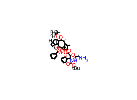 [2H]C([2H])([2H])O[C@H]1C[C@H]2CC[C@@]2(OC(C)=O)[C@H]2[C@H](OC(=O)c3ccccc3)[C@]3(O)C[C@H](OC(=O)[C@H](OC(=O)CN)[C@@H](NC(=O)OC(C)(C)C)c4ccccc4)C(C)=C([C@@H](C)C(=O)[C@]12C)C3(C)C